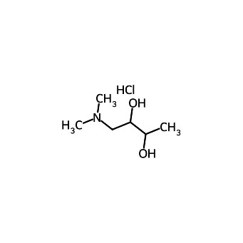 CC(O)C(O)CN(C)C.Cl